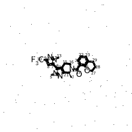 C[C@H]1c2nn(C)c(-c3cc(C(F)(F)F)nn3C)c2CCN1C(=O)c1cccc2c1OCCC2